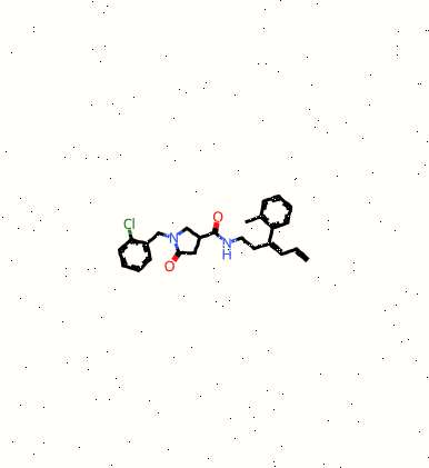 C=C/C=C(/CCNC(=O)C1CC(=O)N(Cc2ccccc2Cl)C1)c1ccccc1C